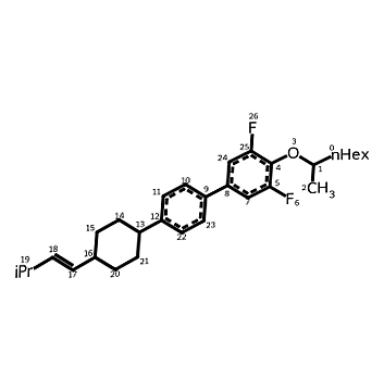 CCCCCCC(C)Oc1c(F)cc(-c2ccc(C3CCC(/C=C/C(C)C)CC3)cc2)cc1F